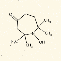 CC1(C)CCC(=O)CC(C)(C)N1O